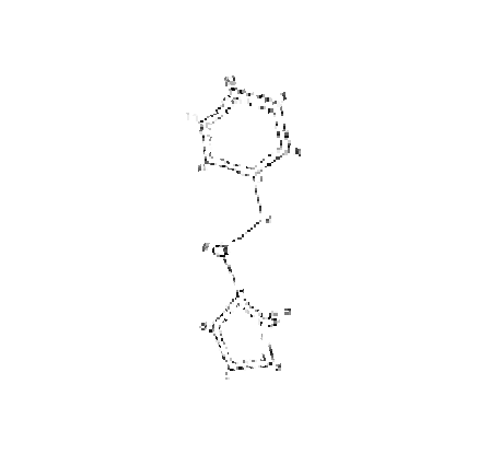 [c]1ccsc1OCc1ccccc1